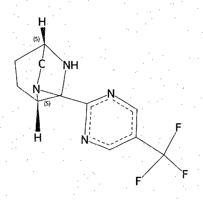 FC(F)(F)c1cnc(N2C[C@@H]3CC[C@H]2CN3)nc1